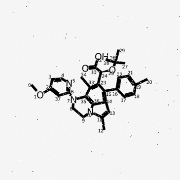 COc1ccnc(N2CCn3c(C)cc4c(-c5ccc(C)cc5)c([C@H](OC(C)(C)C)C(=O)O)c(C)c2c43)c1